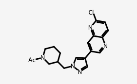 CC(=O)N1CCCC(Cn2cc(-c3cnc4ccc(Cl)nc4c3)cn2)C1